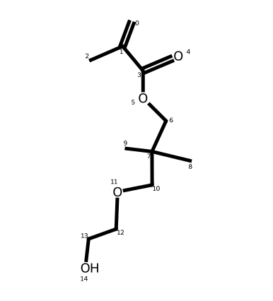 C=C(C)C(=O)OCC(C)(C)COCCO